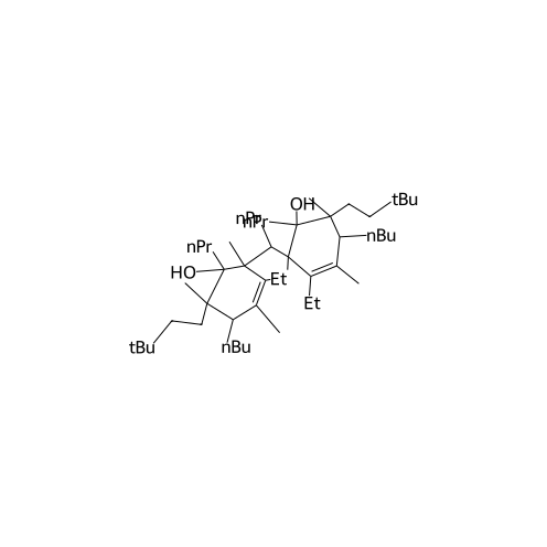 CCCCC1C(C)=C(CC)C(C)(C(CCC)C2(C)C(CC)=C(C)C(CCCC)C(C)(CCC(C)(C)C)C2(O)CCC)C(O)(CCC)C1(C)CCC(C)(C)C